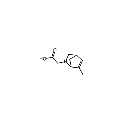 CC1=CC2CC1N(CC(=O)O)C2